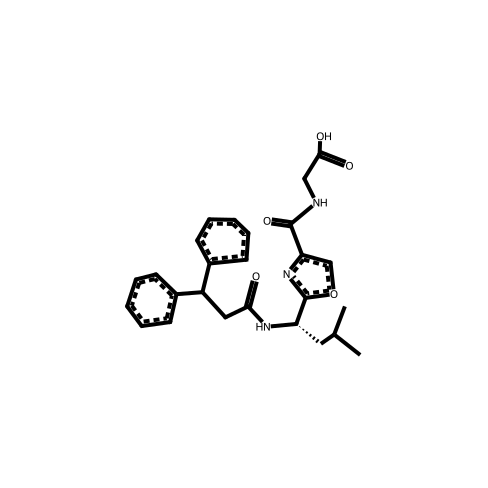 CC(C)C[C@H](NC(=O)CC(c1ccccc1)c1ccccc1)c1nc(C(=O)NCC(=O)O)co1